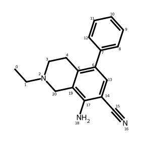 CCN1CCc2c(-c3ccccc3)cc(C#N)c(N)c2C1